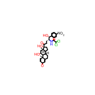 C[C@]12C=CC(=O)C=C1CC[C@@H]1C2[C@@H](O)C[C@@]2(C)[C@H]1CC[C@]2(O)C(=O)[CH]C[C@@H](NC(=O)C(Cl)Cl)[C@H](O)c1ccc([N+](=O)[O-])cc1